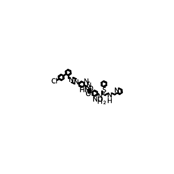 O=[N+]([O-])c1cc(S(=O)(=O)Nc2ncnc3cc(N4CCN(Cc5ccccc5-c5ccc(Cl)cc5)CC4)ccc23)ccc1N[C@H](CCNCCc1ccccn1)CSc1ccccc1